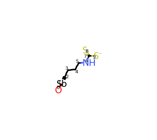 [O]=[Sb]#[C]CCCNC(=S)[S-]